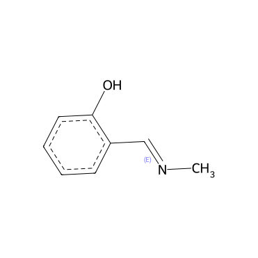 C/N=C/c1ccccc1O